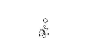 O=C(N[C@H]1C[C@H]2CC[C@H](N2)[C@@H]1F)OCc1ccccc1